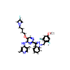 CCOc1cc(F)c(Cn2nc(-c3ncc(OCCCCN4CC(F)C4)c(Nc4cc(C)ncc4C)n3)c3ccccc32)c(F)c1